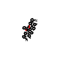 Cc1ccc(N(c2cc3c(c4ccccc24)-c2c(cc(N(c4ccc(C)cc4)c4cccc5c4oc4c(C#N)cccc45)c4ccccc24)C32c3ccccc3-n3c4ccccc4c4cccc2c43)c2cccc3c2oc2c(C#N)cccc23)cc1